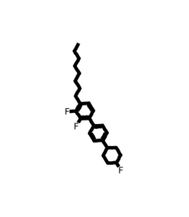 CCCCCCCCc1ccc(-c2ccc(C3CCC(F)CC3)cc2)c(F)c1F